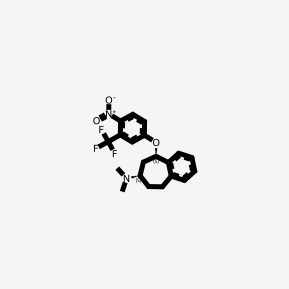 CN(C)[C@H]1CCc2ccccc2[C@@H](Oc2ccc([N+](=O)[O-])c(C(F)(F)F)c2)C1